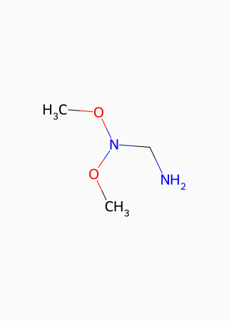 CON(CN)OC